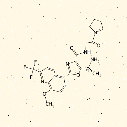 COc1ccc(-c2nc(C(=O)NCC(=O)N3CCCC3)c([C@H](C)N)o2)c2ccc(C(F)(F)F)nc12